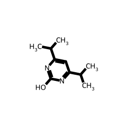 CC(C)c1cc(C(C)C)nc(O)n1